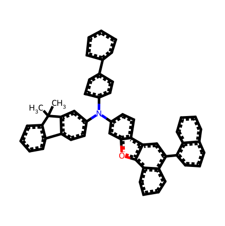 CC1(C)c2ccccc2-c2ccc(N(c3ccc(-c4ccccc4)cc3)c3ccc4c(c3)oc3c5ccccc5c(-c5cccc6ccccc56)cc43)cc21